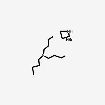 Br.C1CNC1.CCCCP(CCCC)CCCC